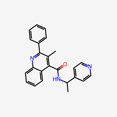 Cc1c(-c2ccccc2)nc2ccccc2c1C(=O)NC(C)c1ccncc1